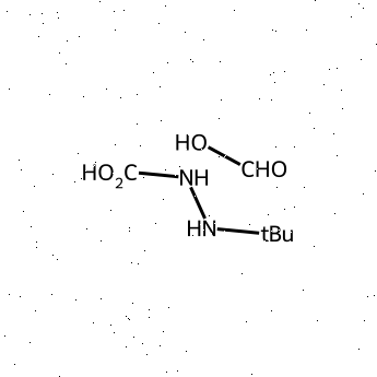 CC(C)(C)NNC(=O)O.O=CO